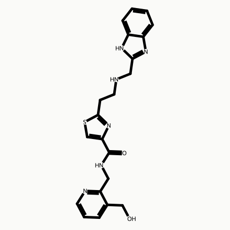 O=C(NCc1ncccc1CO)c1csc(CCNCc2nc3ccccc3[nH]2)n1